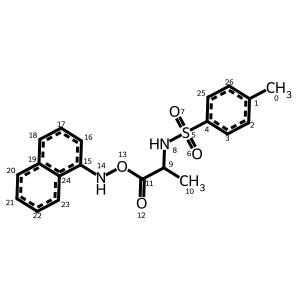 Cc1ccc(S(=O)(=O)NC(C)C(=O)ONc2cccc3ccccc23)cc1